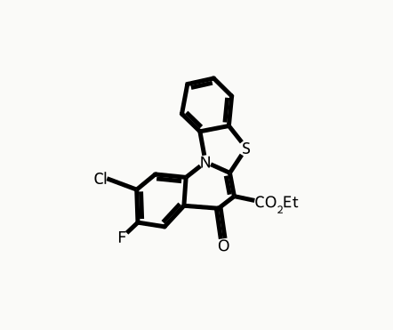 CCOC(=O)c1c(=O)c2cc(F)c(Cl)cc2n2c1sc1ccccc12